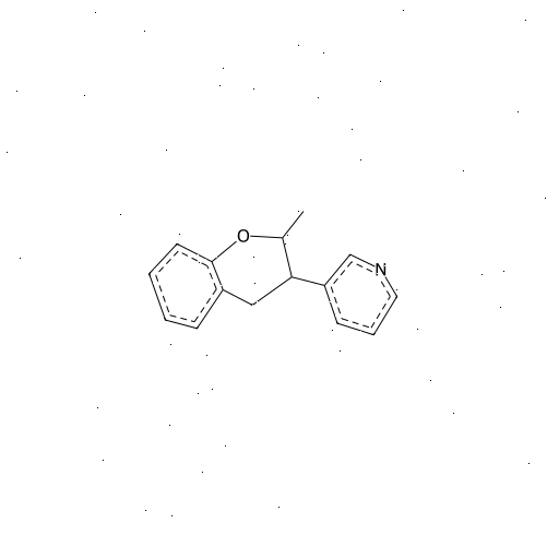 CC1Oc2ccccc2CC1c1cccnc1